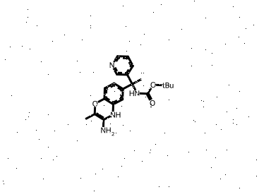 CC1=C(N)Nc2cc(C(C)(NC(=O)OC(C)(C)C)c3cccnc3)ccc2O1